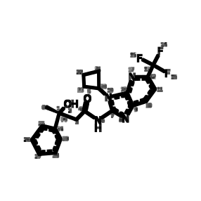 C[C@@](O)(CC(=O)Nc1nc2ccc(C(F)(F)F)nc2n1C1CCC1)c1ccccc1